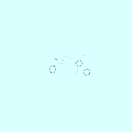 CCOc1cc(-c2ccc(F)cc2)c(C2CC2)cc1CN1CCC2(CC1)CN(c1ccc(C(=O)O)cc1)C(=O)N2